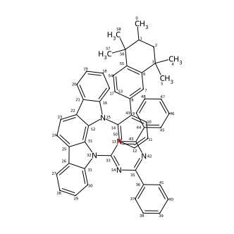 CC1CC(C)(C)c2cc(-c3ccccc3-n3c4ccccc4c4ccc5c6ccccc6n(-c6nc(-c7ccccc7)nc(-c7ccccc7)n6)c5c43)ccc2C1(C)C